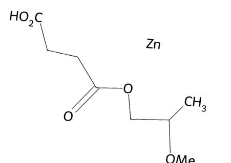 COC(C)COC(=O)CCC(=O)O.[Zn]